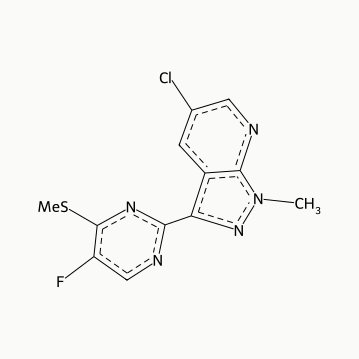 CSc1nc(-c2nn(C)c3ncc(Cl)cc23)ncc1F